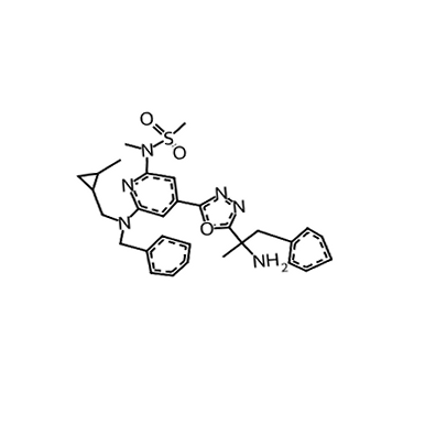 CC1CC1CN(Cc1ccccc1)c1cc(-c2nnc(C(C)(N)Cc3ccccc3)o2)cc(N(C)S(C)(=O)=O)n1